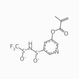 C=C(C)C(=O)Oc1cncc([S+]([O-])N[S+]([O-])C(F)(F)F)c1